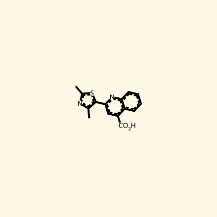 Cc1nc(C)c(-c2cc(C(=O)O)c3ccccc3n2)s1